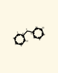 [c]1[c]ccc(Cc2[c][c][c]cc2)[c]1